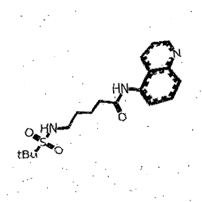 CC(C)(C)S(=O)(=O)NCCCCC(=O)Nc1cccc2ncccc12